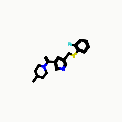 C=C(c1cncc(CSc2ccccc2F)c1)N1CCC(C)CC1